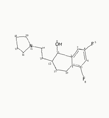 OC1c2cc(F)cc(F)c2CCC1CCN1CCCC1